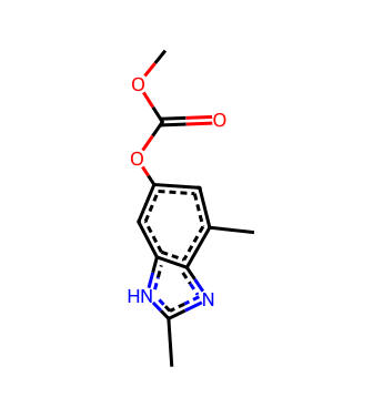 COC(=O)Oc1cc(C)c2nc(C)[nH]c2c1